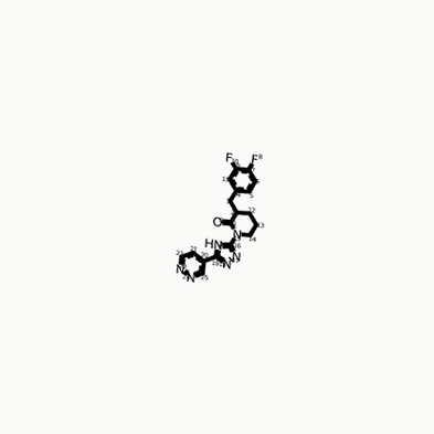 O=C1C(Cc2ccc(F)c(F)c2)CCCN1c1nnc(-c2ccnnc2)[nH]1